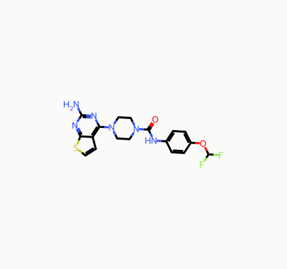 Nc1nc(N2CCN(C(=O)Nc3ccc(OC(F)F)cc3)CC2)c2ccsc2n1